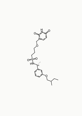 CCC(C)COc1cccc([C@@H](C)NS(=O)(=O)CCCOCn2ccc(=O)[nH]c2=O)c1